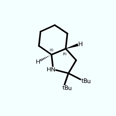 CC(C)(C)C1(C(C)(C)C)C[C@H]2CCCC[C@@H]2N1